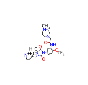 CN1CCCN(CC(=O)Nc2cc(N3C(=O)N(Cc4ccncc4)C(C)(C)C3=O)ccc2OC(F)(F)F)CC1